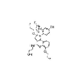 Cc1cc(O)ccc1N1c2c(c(NCCO)nc3c(OCCF)cccc23)CC1(OCCF)OCCF